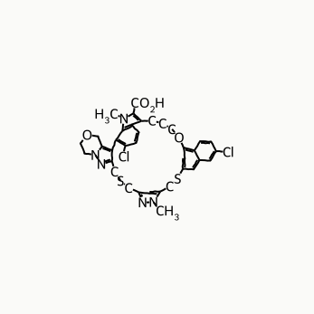 Cn1nc2cc1CSc1cc(c3ccc(Cl)cc3c1)OCCCc1c(C(=O)O)n(C)c3c(c(Cl)ccc13)-c1c(nn3c1COCC3)CSC2